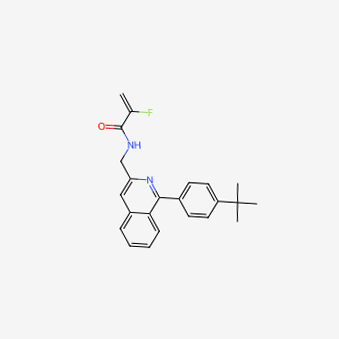 C=C(F)C(=O)NCc1cc2ccccc2c(-c2ccc(C(C)(C)C)cc2)n1